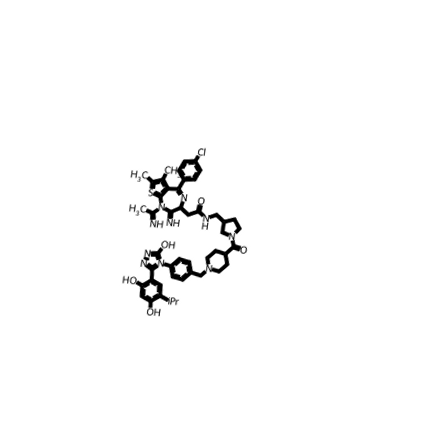 CC(=N)N1C(=N)C(CC(=O)NCC2CCN(C(=O)C3CCN(Cc4ccc(-n5c(O)nnc5-c5cc(C(C)C)c(O)cc5O)cc4)CC3)C2)N=C(c2ccc(Cl)cc2)c2c1sc(C)c2C